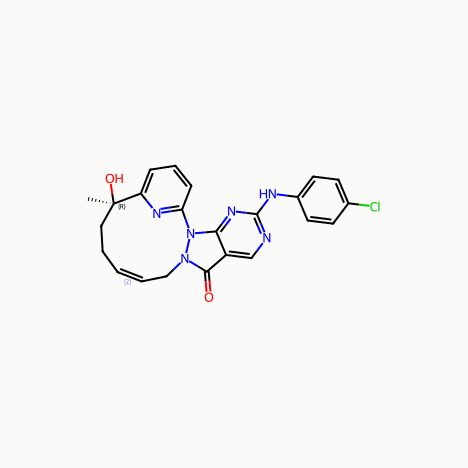 C[C@@]1(O)CC/C=C\Cn2c(=O)c3cnc(Nc4ccc(Cl)cc4)nc3n2-c2cccc1n2